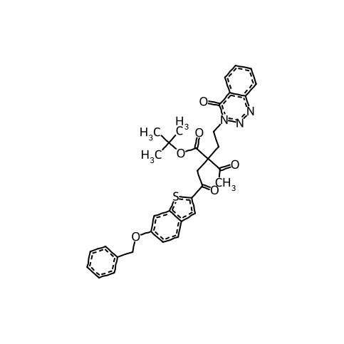 CC(=O)C(CCn1nnc2ccccc2c1=O)(CC(=O)c1cc2ccc(OCc3ccccc3)cc2s1)C(=O)OC(C)(C)C